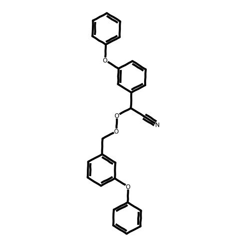 N#CC(OOCc1cccc(Oc2ccccc2)c1)c1cccc(Oc2ccccc2)c1